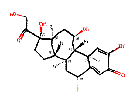 C[C@]12C=C(Br)C(=O)C=C1[C@H](F)C[C@@H]1[C@@H]2[C@H](O)C[C@@]2(C)[C@H]1CC[C@]2(O)C(=O)CO